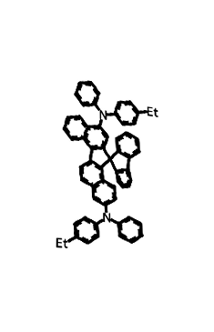 CCc1ccc(N(c2ccccc2)c2ccc3c4c(ccc3c2)-c2c(cc(N(c3ccccc3)c3ccc(CC)cc3)c3ccccc23)C42c3ccccc3-c3ccccc32)cc1